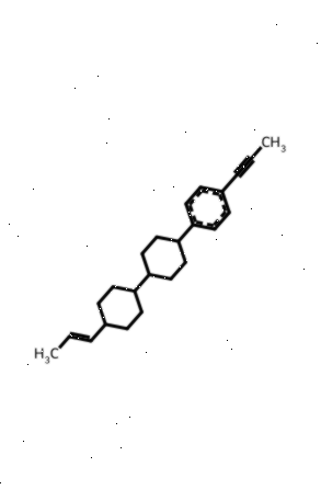 CC#Cc1ccc(C2CCC(C3CCC(C=CC)CC3)CC2)cc1